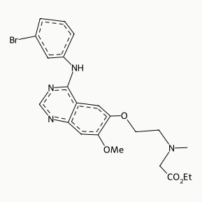 CCOC(=O)CN(C)CCOc1cc2c(Nc3cccc(Br)c3)ncnc2cc1OC